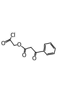 O=C(Cl)COC(=O)CC(=O)c1ccccc1